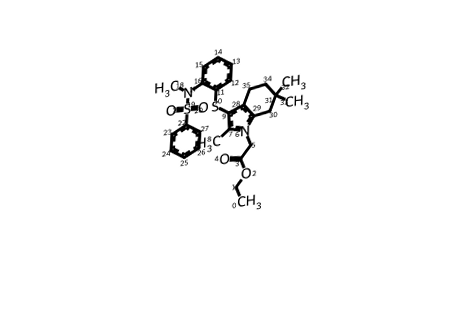 CCOC(=O)Cn1c(C)c(Sc2ccccc2N(C)S(=O)(=O)c2ccccc2)c2c1CC(C)(C)CC2